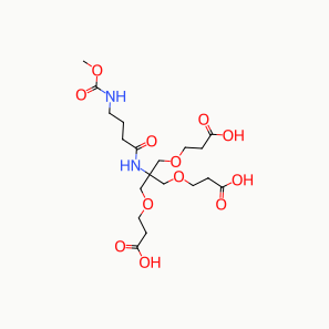 COC(=O)NCCCC(=O)NC(COCCC(=O)O)(COCCC(=O)O)COCCC(=O)O